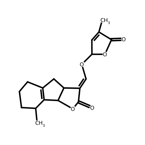 CC1=CC(O/C=C2/C(=O)OC3C4=C(CCCC4C)CC23)OC1=O